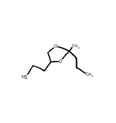 CCCC1(C)OCC(CCS)O1